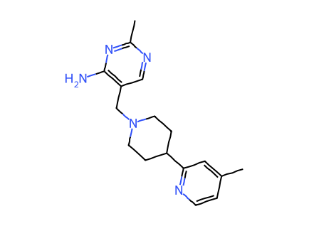 Cc1ccnc(C2CCN(Cc3cnc(C)nc3N)CC2)c1